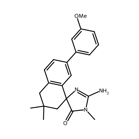 COc1cccc(-c2ccc3c(c2)C2(CC(C)(C)C3)N=C(N)N(C)C2=O)c1